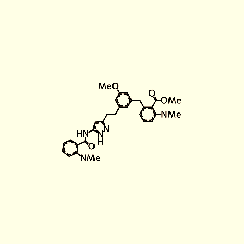 CNc1ccccc1C(=O)Nc1cc(CCc2cc(Cc3cccc(NC)c3C(=O)OC)cc(OC)c2)n[nH]1